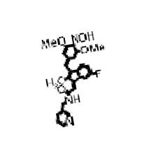 COC1=CC(=CC2=C(C)/C(=C\C(=O)NCc3cccnc3)c3cc(F)ccc32)C=C(OC)C1=NO